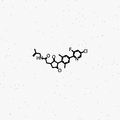 C=C(C)CNC(=O)CC1CC(=O)C(c2c(C)cc(-c3ncc(Cl)cc3F)cc2C)C1=O